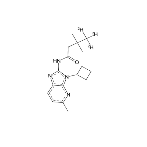 [2H]C([2H])([2H])C(C)(C)CC(=O)Nc1nc2ccc(C)nc2n1C1CCC1